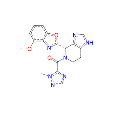 COc1cccc2oc([C@@H]3c4nc[nH]c4CCN3C(=O)c3ncnn3C)nc12